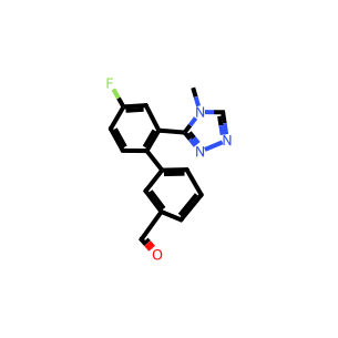 Cn1cnnc1-c1cc(F)ccc1-c1cccc(C=O)c1